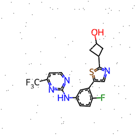 OC1CC(c2ncc(-c3cc(Nc4nccc(C(F)(F)F)n4)ccc3F)s2)C1